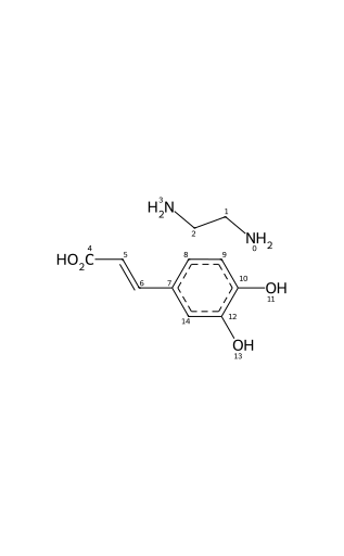 NCCN.O=C(O)C=Cc1ccc(O)c(O)c1